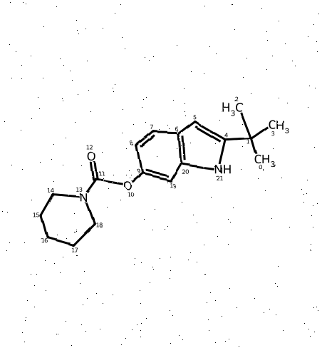 CC(C)(C)c1cc2ccc(OC(=O)N3CCCCC3)cc2[nH]1